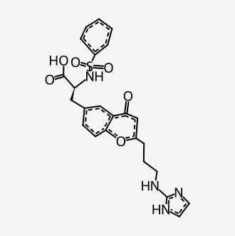 O=C(O)[C@H](Cc1ccc2oc(CCCNc3ncc[nH]3)cc(=O)c2c1)NS(=O)(=O)c1ccccc1